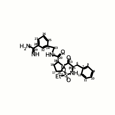 CCS(=O)(=O)N[C@H](Cc1ccccc1)C(=O)N1CCC[C@H]1C(=O)NCc1cccc(C(=N)N)c1